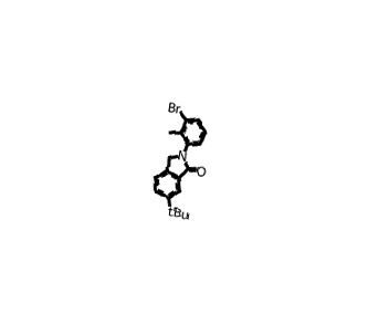 Cc1c(Br)cccc1N1Cc2ccc(C(C)(C)C)cc2C1=O